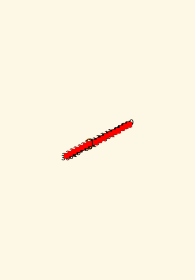 CCCCCCCCCCCCCCCCCCCCCCSCCCCCCCCCCCCC